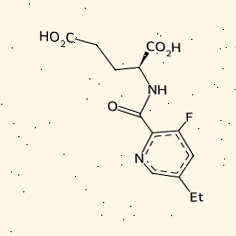 CCc1cnc(C(=O)N[C@@H](CCC(=O)O)C(=O)O)c(F)c1